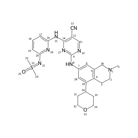 CN1CCc2c(cc(Nc3ncc(C#N)c(Nc4cccc(N=S(C)(C)=O)n4)n3)cc2C2CCOCC2)C1